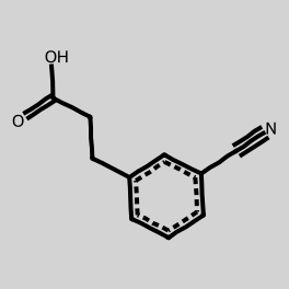 N#Cc1cccc(CCC(=O)O)c1